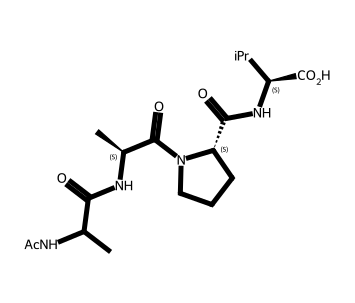 CC(=O)NC(C)C(=O)N[C@@H](C)C(=O)N1CCC[C@H]1C(=O)N[C@H](C(=O)O)C(C)C